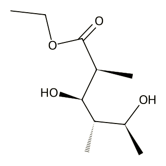 CCOC(=O)[C@@H](C)[C@H](O)[C@@H](C)[C@H](C)O